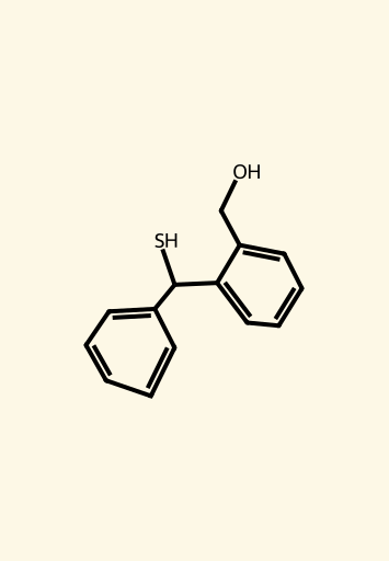 OCc1ccccc1C(S)c1ccccc1